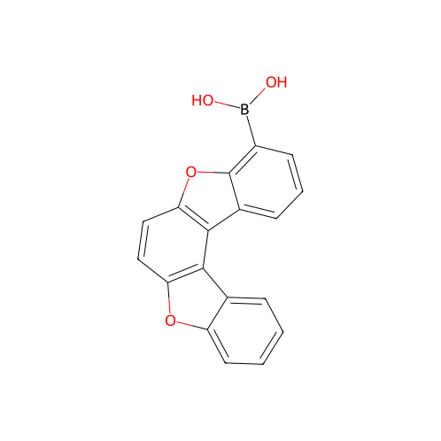 OB(O)c1cccc2c1oc1ccc3oc4ccccc4c3c12